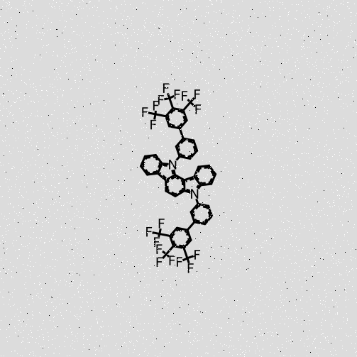 FC(F)(F)c1cc(-c2cccc(-n3c4ccccc4c4c3ccc3c5ccccc5n(-c5cccc(-c6cc(C(F)(F)F)c(C(F)(F)F)c(C(F)(F)F)c6)c5)c34)c2)cc(C(F)(F)F)c1C(F)(F)F